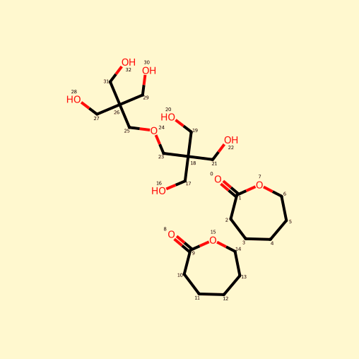 O=C1CCCCCO1.O=C1CCCCCO1.OCC(CO)(CO)COCC(CO)(CO)CO